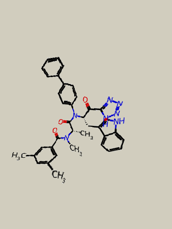 Cc1cc(C)cc(C(=O)N(C)[C@@H](C)C(=O)N(c2ccc(-c3ccccc3)cc2)[C@@H](Cc2c[nH]c3ccccc23)C(=O)c2nnn[nH]2)c1